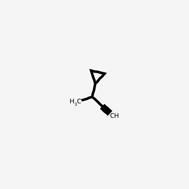 C#CC(C)C1CC1